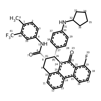 Cc1ccc(NC(=O)[C@H]2Cc3cccc4c5cccc(F)c5c(=O)n(c34)[C@H]2c2ccc(NC3CCCC3)cc2)cc1C(F)(F)F